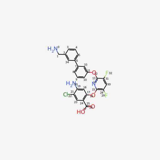 NCc1cccc(-c2cccc(Oc3nc(Oc4cc(N)c(Cl)cc4C(=O)O)c(F)cc3F)c2)c1